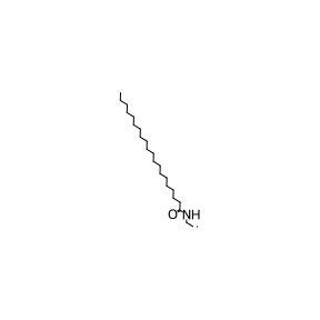 [CH2]CNC(=O)CCCCCCCCCCCCCCCCCCC